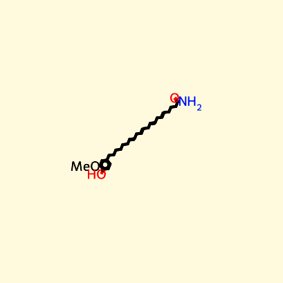 COc1cc(CCCCCCC=CCC=CCC=CCC=CCCCC(N)=O)ccc1O